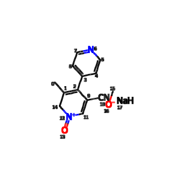 CC1=C(c2ccncc2)C(C#N)=C[N+](=O)C1.C[O-].[NaH]